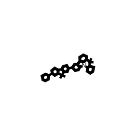 CC1(C)c2cc(-c3ccccc3)ccc2-c2ccc(-c3ccc4c(c3)c3cccc5c3n4-c3ccccc3C5(C)C)cc21